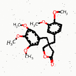 COc1ccc(CC2(Cc3cc(OC)c(OC)c(OC)c3)COC(=O)C2)cc1OC